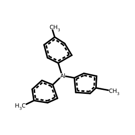 Cc1cc[c]([Al]([c]2ccc(C)cc2)[c]2ccc(C)cc2)cc1